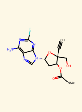 C#C[C@]1(CO)O[C@@H](n2cnc3c(N)nc(F)nc32)C[C@@H]1OC(=O)NC